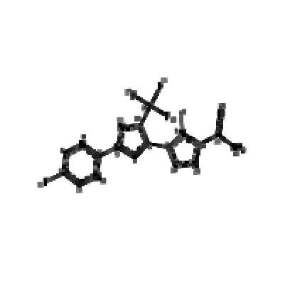 Cn1c(-c2cn(-c3ncc(F)cn3)nc2C(F)(F)F)cnc1C(N)=O